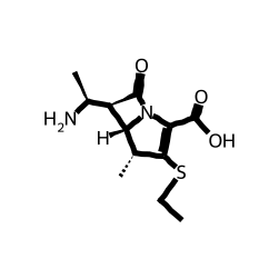 CCSC1=C(C(=O)O)N2C(=O)[C@H]([C@H](C)N)[C@H]2[C@H]1C